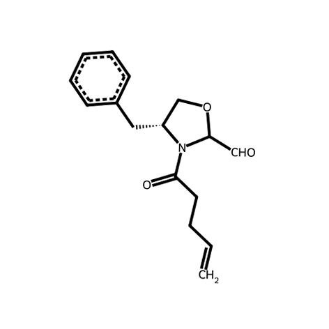 C=CCCC(=O)N1C(C=O)OC[C@H]1Cc1ccccc1